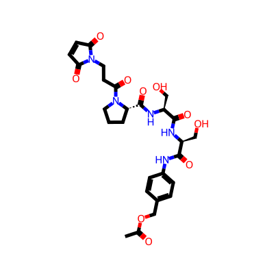 CC(=O)OCc1ccc(NC(=O)[C@H](CO)NC(=O)[C@H](CO)NC(=O)[C@@H]2CCCN2C(=O)CCN2C(=O)C=CC2=O)cc1